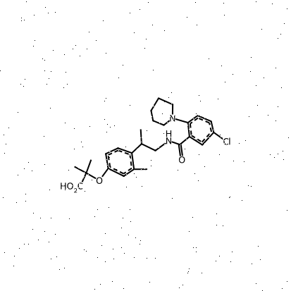 Cc1cc(OC(C)(C)C(=O)O)ccc1C(C)CNC(=O)c1cc(Cl)ccc1N1CCCCC1